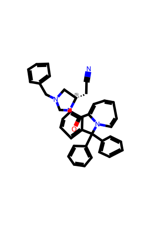 N#CC[C@H]1CN(Cc2ccccc2)CN1C(=O)C1=CC=CC=CN1C(c1ccccc1)(c1ccccc1)c1ccccc1